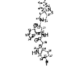 CN(C)C1(c2cccs2)CCN(C(=O)CC(NC(=O)Cc2c[nH]c3cc(F)ccc23)c2ccccc2)CC1